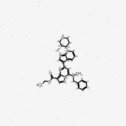 CCOC(=O)c1cnn2c(N(C)Cc3ccccc3)cc(-c3cnc4n([C@H]5CCOC[C@H]5F)cccc3-4)nc12